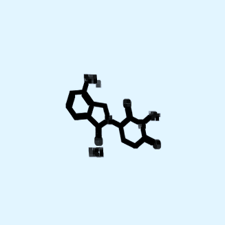 CC(C)N1C(=O)CCC(N2Cc3c(N)cccc3C2=O)C1=O.Cl